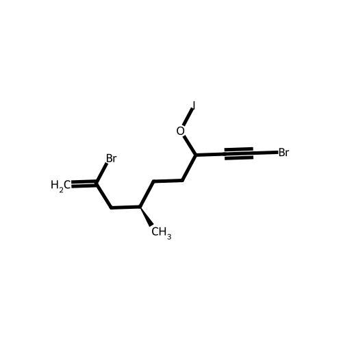 C=C(Br)C[C@H](C)CCC(C#CBr)OI